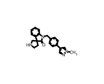 Cn1cc(-c2ccc(CN3C(=O)C4(CCNC4)c4ccccc43)cc2)cn1